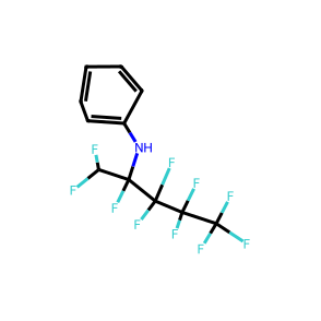 FC(F)C(F)(Nc1ccccc1)C(F)(F)C(F)(F)C(F)(F)F